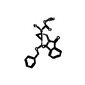 CCN(C(=O)OC(C)(C)C)[C@]1(CN2C(=O)c3ccccc3C2=O)C[C@H]1COCc1ccccc1